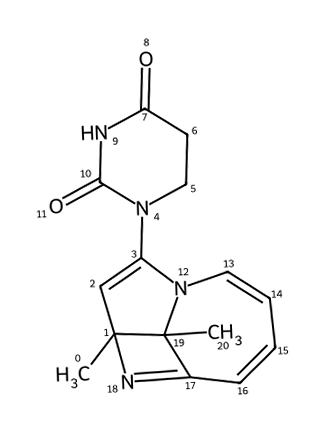 CC12C=C(N3CCC(=O)NC3=O)N3C=CC=CC(=N1)C32C